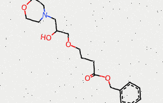 O=C(CCCOCC(O)CN1CCOCC1)OCc1ccccc1